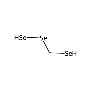 [SeH]C[Se][SeH]